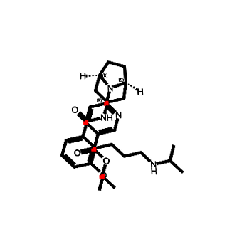 CCOC(=O)c1ccc(N2[C@@H]3CC[C@H]2C[C@@H](NC(=O)c2cccc(OC)c2CCCNC(C)C)C3)nc1